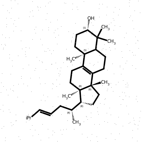 CC(C)C=CC[C@@H](C)[C@H]1CC[C@@]2(C)C3=C(CC[C@]12C)[C@@]1(C)CC[C@H](O)C(C)(C)C1CC3